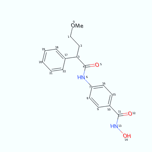 COCCC(C(=O)Nc1ccc(C(=O)NO)cc1)c1ccccc1